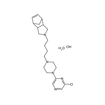 Cl.Clc1cncc(N2CCN(CCCCN3CC4C5C=CC(C5)C4C3)CC2)n1.O